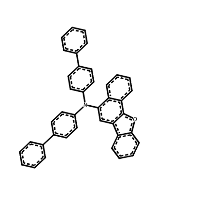 c1ccc(-c2ccc(N(c3ccc(-c4ccccc4)cc3)c3cc4c5ccccc5oc4c4ccccc34)cc2)cc1